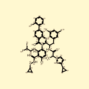 CC(C(=O)NC(Cc1cc(F)cc(F)c1)c1nc2cc(-c3ccccc3F)ccc2c(=O)n1-c1ccc(Cl)c(C(=N)NSC2CC2)c1NCC(F)F)n1ccc(C2CC2)n1